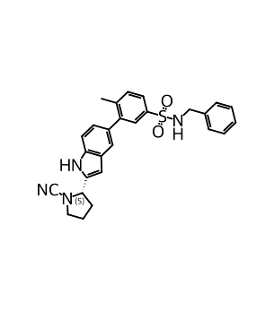 Cc1ccc(S(=O)(=O)NCc2ccccc2)cc1-c1ccc2[nH]c([C@@H]3CCCN3C#N)cc2c1